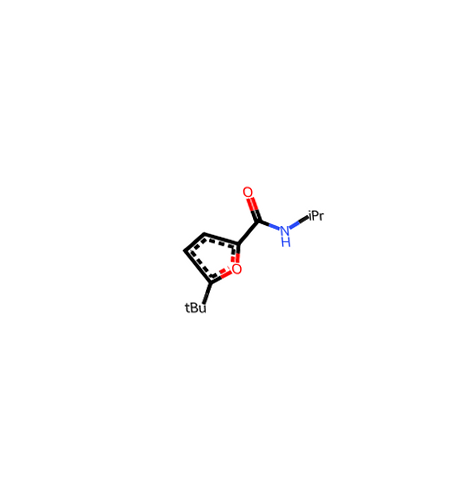 CC(C)NC(=O)c1ccc(C(C)(C)C)o1